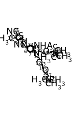 [C-]#[N+]c1c(/N=N/c2ccc(N(CCOCCOCC[N+](C)(C)C)CCOCC[N+](C)(C)C)c(NC(C)=O)c2)sc(C#N)c1C